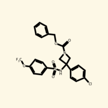 O=C(OCc1ccccc1)N1CC(NS(=O)(=O)c2ccc(OC(F)(F)F)cc2)(c2ccc(Cl)cc2)C1